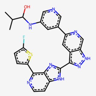 CC(C)C(O)Nc1cncc(-c2cc3c(-c4nc5c(-c6ccc(F)s6)nccc5[nH]4)n[nH]c3cn2)c1